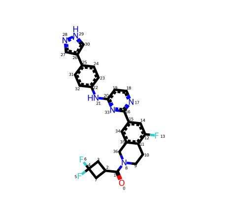 O=C(C1CC(F)(F)C1)N1CCc2c(F)cc(-c3nccc(Nc4ccc(-c5cn[nH]c5)cc4)n3)cc2C1